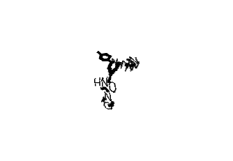 Cc1ccc(-c2cc(C(=O)NC(C)CN3CCOCC3)cc(-n3cnnn3)n2)cc1